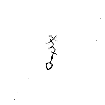 CC(C)(C#Cc1ccccc1)OC(=O)CC(C)(O)P(=O)(O)O